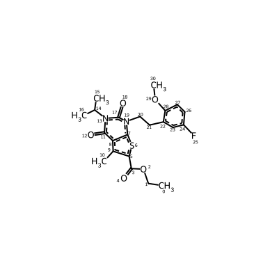 CCOC(=O)c1sc2c(c1C)c(=O)n(C(C)C)c(=O)n2CCc1cc(F)ccc1OC